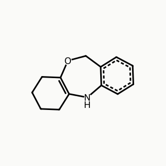 c1ccc2c(c1)COC1=C(CCCC1)N2